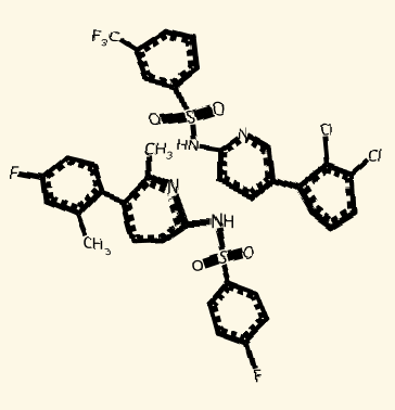 Cc1cc(F)ccc1-c1ccc(NS(=O)(=O)c2ccc(F)cc2)nc1C.O=S(=O)(Nc1ccc(-c2cccc(Cl)c2Cl)cn1)c1cccc(C(F)(F)F)c1